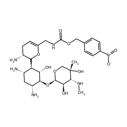 CN[C@@H]1[C@@H](O)[C@@H](O[C@@H]2[C@@H](O)[C@H](C3OC(CNC(=O)OCc4ccc([N+](=O)[O-])cc4)=CC[C@H]3N)[C@@H](N)C[C@H]2N)OC[C@]1(C)O